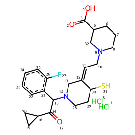 Cl.Cl.O=C(O)C1CCCN(C/C=C2/CN(C(C(=O)C3CC3)c3ccccc3F)CCC2S)C1